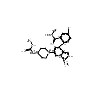 CCN(C(=O)c1cc(F)ccc1-c1cc(N2CCC(NC(=O)OC(C)(C)C)CC2)cc2c1cnn2C)C(C)C